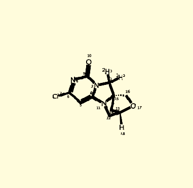 [2H]C1([2H])n2c(cc(Cl)nc2=O)N2C[C@@H]3C[C@@]21CO3